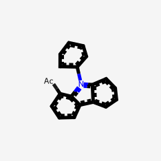 CC(=O)c1cccc2c3ccccc3n(-c3ccccc3)c12